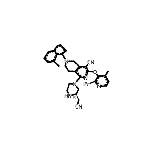 Cc1ccnc(C(C)C)c1Oc1nc(N2CCN[C@H](CC#N)C2)c2c(c1C#N)CN(c1cccc3cccc(C)c13)CC2